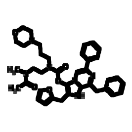 CC(=O)N(C)CCN(CCCN1CCOCC1)C(=O)OC1=C(Cc2ccco2)NC2C(Cc3ccccc3)=NC(c3ccccc3)=CN12